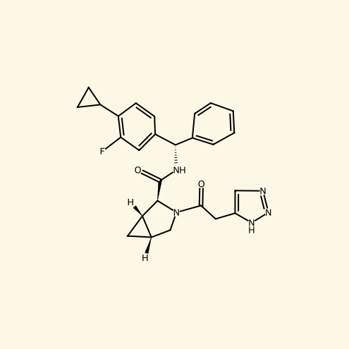 O=C(N[C@@H](c1ccccc1)c1ccc(C2CC2)c(F)c1)[C@@H]1[C@H]2C[C@H]2CN1C(=O)Cc1cnn[nH]1